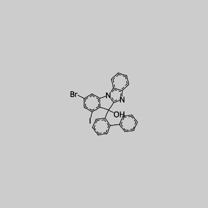 OC1(c2ccccc2-c2ccccc2)c2c(I)cc(Br)cc2-n2c1nc1ccccc12